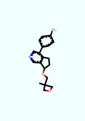 CC1(COC2CCc3c(-c4ccc(C(F)(F)F)cc4)cncc32)COC1